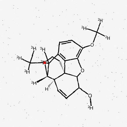 [2H]OC1C=C[C@@H]2[C@@]34CCN(C([2H])([2H])[2H])[C@]2([2H])C([2H])([2H])c2ccc(OC([2H])([2H])[2H])c(c23)OC14